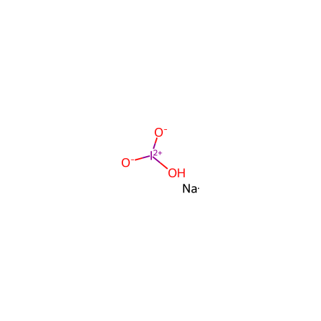 [Na].[O-][I+2]([O-])O